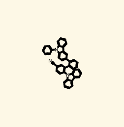 N#Cc1ccc(-n2c3ccccc3c3ccccc32)c(-c2ccccc2-c2ccc3c(c2)c2ccccc2n3-c2ccccc2)c1